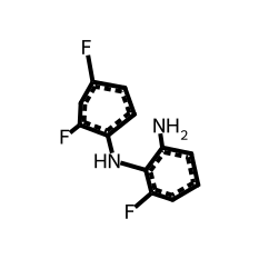 Nc1cccc(F)c1Nc1ccc(F)cc1F